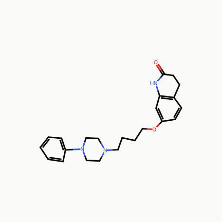 O=C1CCc2ccc(OCCCCN3CCN(c4ccccc4)CC3)cc2N1